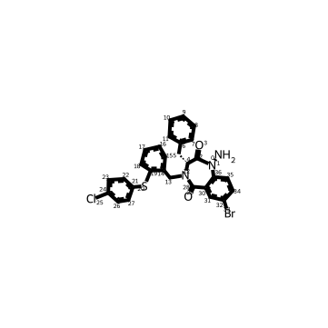 NN1C(=O)[C@@H](Cc2ccccc2)N(Cc2ccccc2Sc2ccc(Cl)cc2)C(=O)c2cc(Br)ccc21